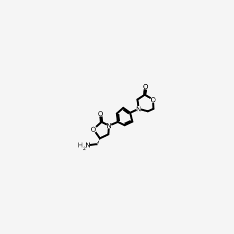 NC[C@H]1CN(c2ccc(N3CCOC(=O)C3)cc2)C(=O)O1